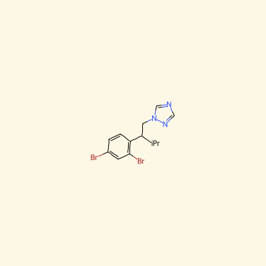 CC(C)C(Cn1cncn1)c1ccc(Br)cc1Br